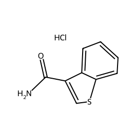 Cl.NC(=O)c1csc2ccccc12